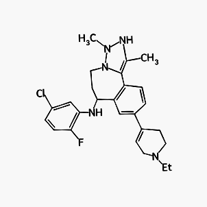 CCN1CC=C(c2ccc3c(c2)C(Nc2cc(Cl)ccc2F)CCN2C3=C(C)NN2C)CC1